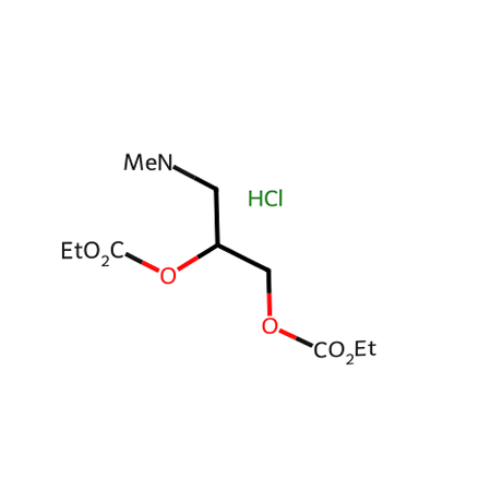 CCOC(=O)OCC(CNC)OC(=O)OCC.Cl